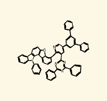 c1ccc(-c2cc(-c3ccccc3)cc(-c3cnc(-c4cccc5c4oc4ccc6c7ccccc7n(-c7ccccc7)c6c45)c(-c4nc(-c5ccccc5)nc(-c5ccccc5)n4)c3)c2)cc1